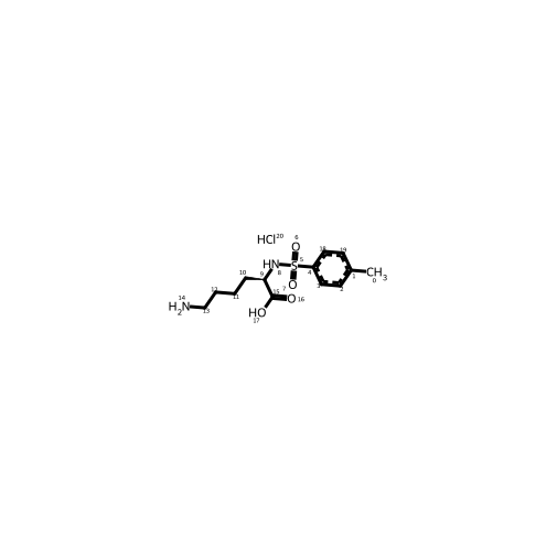 Cc1ccc(S(=O)(=O)N[C@H](CCCCN)C(=O)O)cc1.Cl